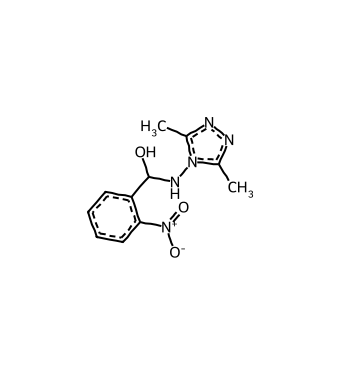 Cc1nnc(C)n1NC(O)c1ccccc1[N+](=O)[O-]